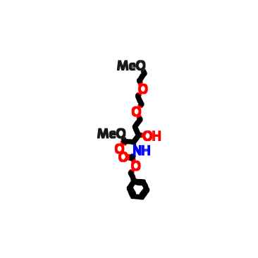 COCCOCCOCCC(O)[C@H](NC(=O)OCc1ccccc1)C(=O)OC